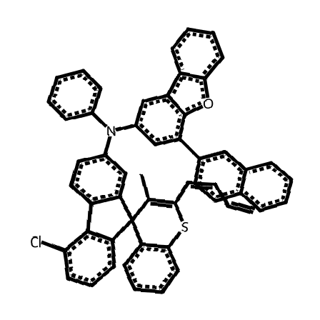 C=C/C=C\C1=C(C)C2(c3ccccc3S1)c1cc(N(c3ccccc3)c3cc(-c4ccc5ccccc5c4)c4oc5ccccc5c4c3)ccc1-c1c(Cl)cccc12